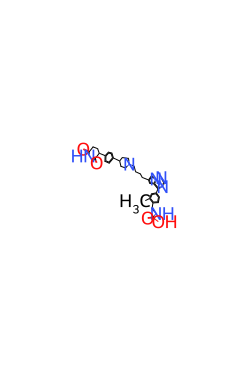 Cc1cc(-c2ncnn3cc(CCCCN4CCC(c5ccc(C6CCC(=O)NC6=O)cc5)CC4)cc23)ccc1CNC(=O)O